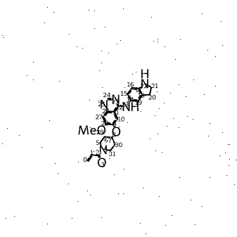 C=CC(=O)N1CCC(Oc2cc3c(Nc4ccc5c(c4)CCN5)ncnc3cc2OC)CC1